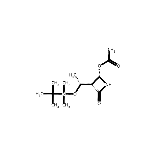 CC(=O)O[C@@H]1NC(=O)[C@@H]1[C@@H](C)O[Si](C)(C)C(C)(C)C